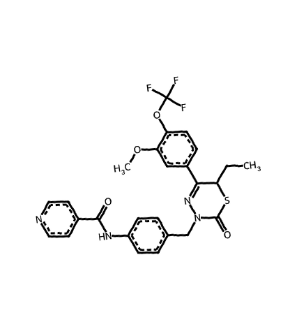 CCC1SC(=O)N(Cc2ccc(NC(=O)c3ccncc3)cc2)N=C1c1ccc(OC(F)(F)F)c(OC)c1